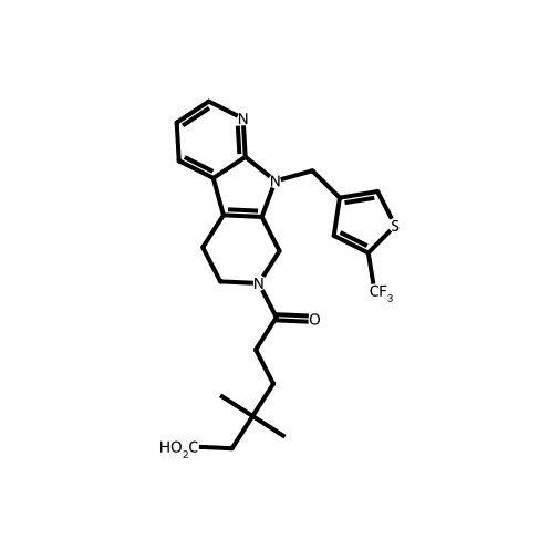 CC(C)(CCC(=O)N1CCc2c(n(Cc3csc(C(F)(F)F)c3)c3ncccc23)C1)CC(=O)O